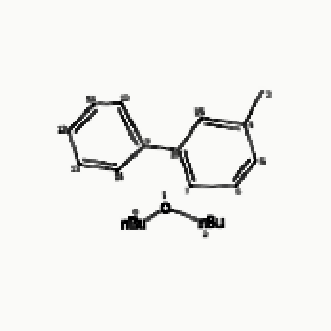 CCCCOCCCC.Cc1cccc(-c2ccccc2)c1